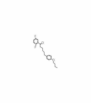 CCCCOc1ccc(CCCCCC(=O)c2cc(F)ccc2F)cc1